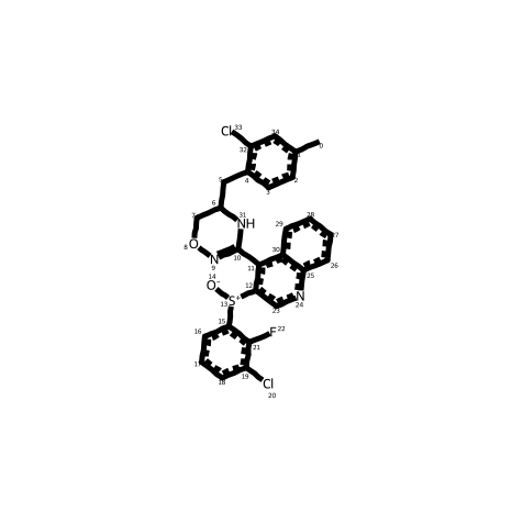 Cc1ccc(CC2CON=C(c3c([S+]([O-])c4cccc(Cl)c4F)cnc4ccccc34)N2)c(Cl)c1